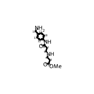 COC(=O)CCNCCC(=O)Nc1ccc(CN)cc1